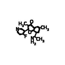 Cc1cc(C(C)N)c2oc(-c3cnccc3F)c(C)c(=O)c2c1